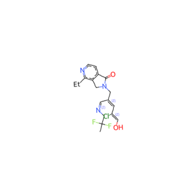 CCc1nccc2c1CN(CC(/C=N\CC(C)(F)F)=C/C(Cl)=C/O)C2=O